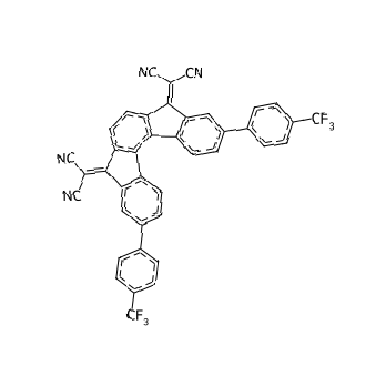 N#CC(C#N)=C1c2cc(-c3ccc(C(F)(F)F)cc3)ccc2-c2c1ccc1c2-c2ccc(-c3ccc(C(F)(F)F)cc3)cc2C1=C(C#N)C#N